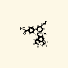 [2H]C([2H])([2H])c1cc(OC)c(CN2CC[C@H](OCC)C[C@@H]2c2ccc(C(=O)O)cc2)c2cc[nH]c12